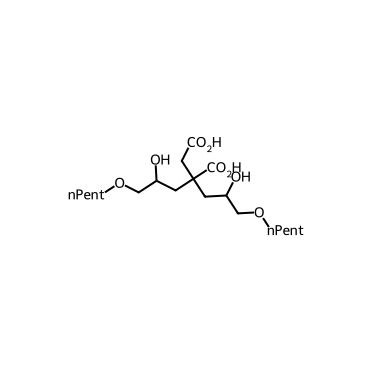 CCCCCOCC(O)CC(CC(=O)O)(CC(O)COCCCCC)C(=O)O